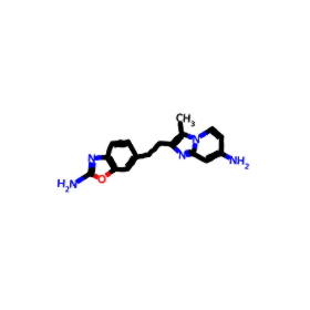 Cc1c(CCc2ccc3nc(N)oc3c2)nc2cc(N)ccn12